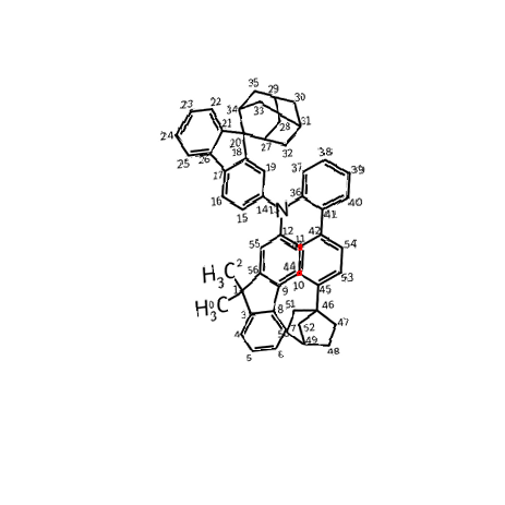 CC1(C)c2ccccc2-c2ccc(N(c3ccc4c(c3)C3(c5ccccc5-4)C4CC5CC(C4)CC3C5)c3ccccc3-c3ccc(C45CCC(CC4)C5)cc3)cc21